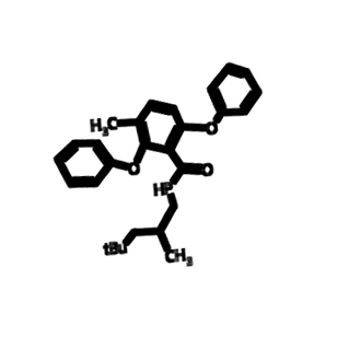 Cc1ccc(Oc2ccccc2)c(C(=O)PCC(C)CC(C)(C)C)c1Oc1ccccc1